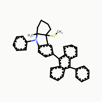 CSC12CCCCC1(C)N(c1ccccc1)c1ccc(-c3c4ccccc4c(-c4ccccc4)c4ccccc34)cc12